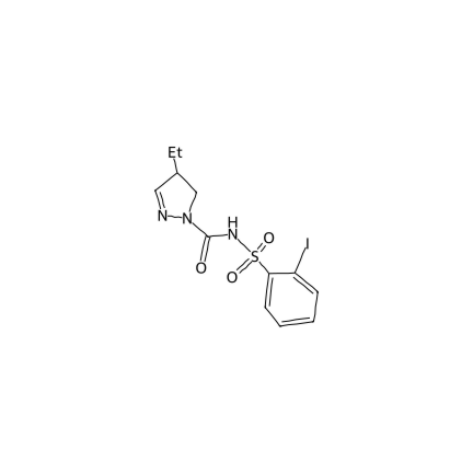 CCC1C=NN(C(=O)NS(=O)(=O)c2ccccc2I)C1